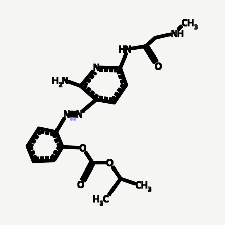 CNCC(=O)Nc1ccc(/N=N/c2ccccc2OC(=O)OC(C)C)c(N)n1